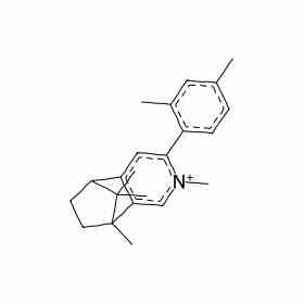 Cc1ccc(-c2cc3c(c[n+]2C)C2(C)CCC3C2(C)C)c(C)c1